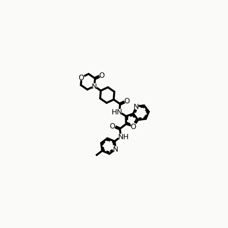 Cc1ccc(NC(=O)c2oc3cccnc3c2NC(=O)C2CCC(N3CCOCC3=O)CC2)nc1